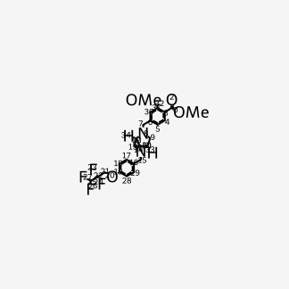 COC(=O)c1ccc(CN2C[C@@H]3C[C@H]2CN3Cc2ccc(OCC(F)(F)C(F)F)cc2)cc1OC